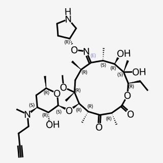 C#CCCN(C)[C@H]1C[C@@H](C)O[C@@H](O[C@@H]2[C@@H](C)C(=O)[C@@H](C)C(=O)O[C@H](CC)[C@@](C)(O)[C@H](O)[C@@H](C)/C(=N/O[C@@H]3CCNC3)[C@H](C)C[C@@]2(C)OC)[C@@H]1O